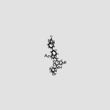 CC(=O)c1nn(CC(=O)N2C[C@H](F)C[C@H]2C(=O)Nc2cncc(Br)n2)c2ccc(-c3ccc4nc(C)nn4c3)cc12